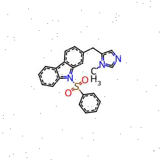 Cn1cncc1Cc1ccc2c3ccccc3n(S(=O)(=O)c3ccccc3)c2c1